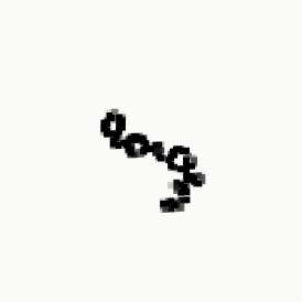 CC(C)(C)ONC(=O)C1CC(CSc2ccc(Oc3ccncc3)cc2)CCO1